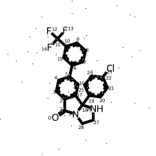 O=C1c2ccc(-c3cccc(C(F)(F)F)c3)cc2C2(c3ccc(Cl)cc3)NCCN12